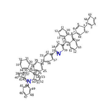 c1ccc(-c2ccc(-c3c4ccccc4c(-c4ccc(-c5ccc(-c6ccc7c(c6)-c6ccccc6C76c7ccccc7N(c7ccccc7)c7ccccc76)cc5)nc4)c4ccccc34)cc2)cc1